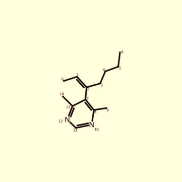 C/C=C(/CCCC)c1c(C)ncnc1C